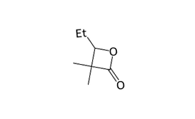 CCC1OC(=O)C1(C)C